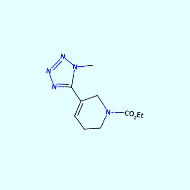 CCOC(=O)N1CCC=C(c2nnnn2C)C1